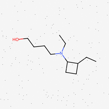 CCC1CCC1N(CC)CCCCO